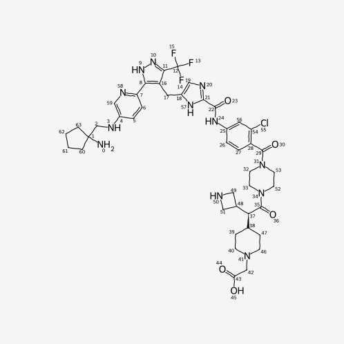 NC1(CNc2ccc(-c3[nH]nc(C(F)(F)F)c3Cc3cnc(C(=O)Nc4ccc(C(=O)N5CCN(C(=O)[C@@H](C6CCN(CC(=O)O)CC6)C6CNC6)CC5)c(Cl)c4)[nH]3)nc2)CCCC1